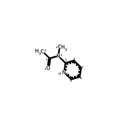 CC(=O)N(C)c1ccccn1